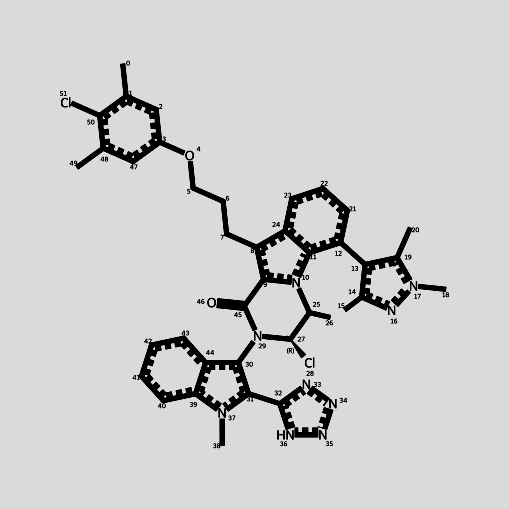 Cc1cc(OCCCc2c3n(c4c(-c5c(C)nn(C)c5C)cccc24)C(C)[C@@H](Cl)N(c2c(-c4nnn[nH]4)n(C)c4ccccc24)C3=O)cc(C)c1Cl